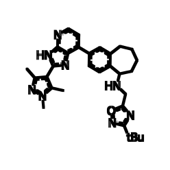 Cc1nn(C)c(C)c1-c1nc2c(-c3ccc4c(c3)CCCCC4NCc3nc(C(C)(C)C)no3)ccnc2[nH]1